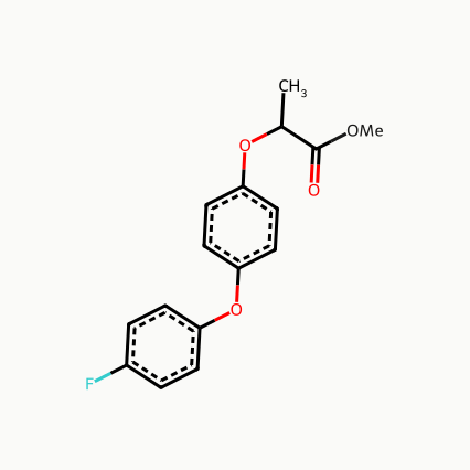 COC(=O)C(C)Oc1ccc(Oc2ccc(F)cc2)cc1